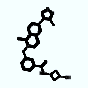 Cc1nocc1-c1ccc2c(=O)n(Cc3cccc(C(=O)N[C@H]4C[C@@H](O)C4)c3)ccc2c1